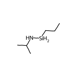 CCC[SiH2]NC(C)C